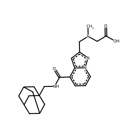 CN(CC(=O)O)Cc1cc2c(C(=O)NCC34CC5CC(CC(C5)C3)C4)cccn2n1